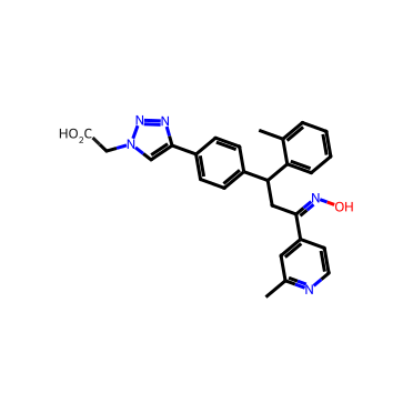 Cc1cc(/C(CC(c2ccc(-c3cn(CC(=O)O)nn3)cc2)c2ccccc2C)=N\O)ccn1